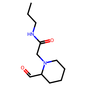 CCCNC(=O)CN1CCCCC1C=O